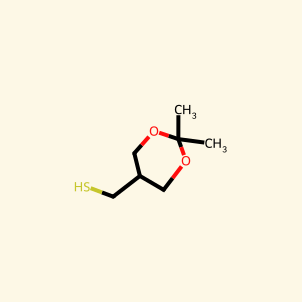 CC1(C)OCC(CS)CO1